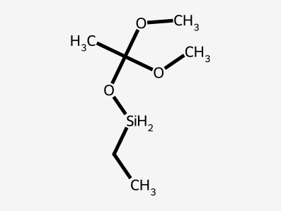 CC[SiH2]OC(C)(OC)OC